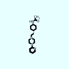 CC(=O)N[C@H]1CC[C@H](CCN2CCN(c3ccccn3)CC2)CC1